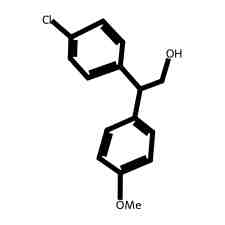 COc1ccc(C(CO)c2ccc(Cl)cc2)cc1